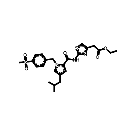 CCOC(=O)Cc1csc(NC(=O)c2cc(CC(C)C)cn2Cc2ccc(S(C)(=O)=O)cc2)n1